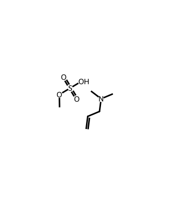 C=CCN(C)C.COS(=O)(=O)O